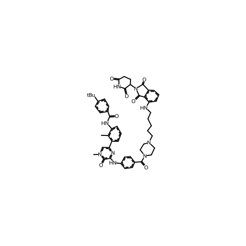 Cc1c(NC(=O)c2ccc(C(C)(C)C)cc2)cccc1-c1cn(C)c(=O)c(Nc2ccc(C(=O)N3CCN(CCCCCNc4cccc5c4C(=O)N(C4CCC(=O)NC4=O)C5=O)CC3)cc2)n1